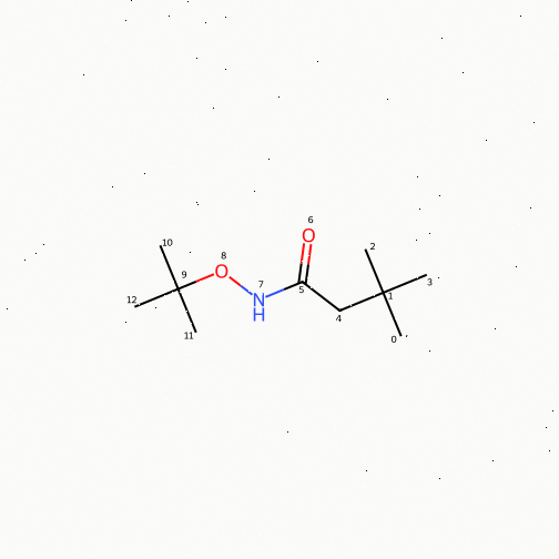 [CH2]C(C)(C)CC(=O)NOC(C)(C)C